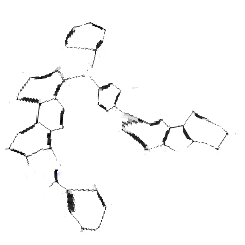 C/C(=N\c1c(C)ccc2c1ccc1c(N(c3ccccc3)c3ccc(-c4ccc5sc6c(c5c4)C=CCC6)cc3)cccc12)C1=CCCC=C1